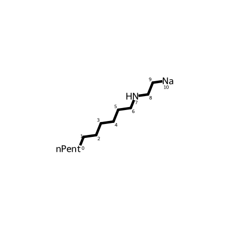 CCCCCCCCCCCNC[CH2][Na]